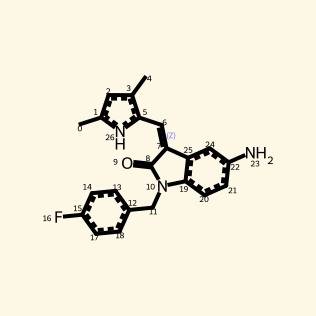 Cc1cc(C)c(/C=C2\C(=O)N(Cc3ccc(F)cc3)c3ccc(N)cc32)[nH]1